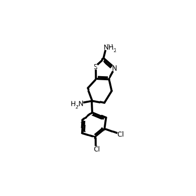 Nc1nc2c(s1)CC(N)(c1ccc(Cl)c(Cl)c1)CC2